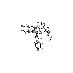 COCOC(C)(C)C(=O)C[C@H](O)[C@H](CC1CCCCC1)NC(=O)OCc1ccccc1